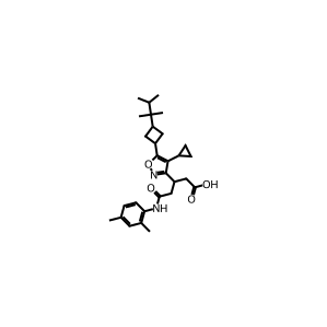 Cc1ccc(NC(=O)CC(CC(=O)O)c2noc(C3CC(C(C)(C)C(C)C)C3)c2C2CC2)c(C)c1